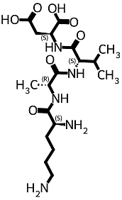 CC(C)[C@H](NC(=O)[C@@H](C)NC(=O)[C@@H](N)CCCCN)C(=O)N[C@@H](CC(=O)O)C(=O)O